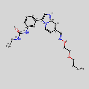 COCCOCCO/N=C/c1ccn2c(-c3cccc(NC(=O)NCC(F)(F)F)c3)cnc2c1